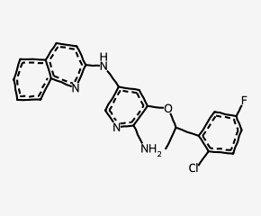 CC(Oc1cc(Nc2ccc3ccccc3n2)cnc1N)c1cc(F)ccc1Cl